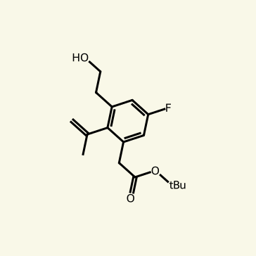 C=C(C)c1c(CCO)cc(F)cc1CC(=O)OC(C)(C)C